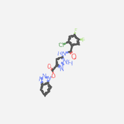 O=C(On1nnc2ccccc21)c1cc(NC(=O)c2cc(F)c(F)cc2Cl)[nH]n1